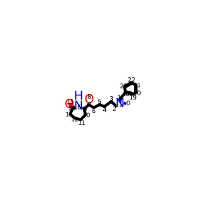 CN(CCCCCC(=O)C1CCCCC(=O)N1)Cc1ccccc1